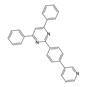 c1ccc(-c2cc(-c3ccccc3)nc(-c3ccc(-c4cccnc4)cc3)n2)cc1